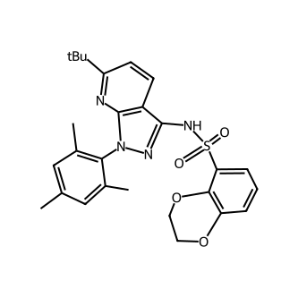 Cc1cc(C)c(-n2nc(NS(=O)(=O)c3cccc4c3OCCO4)c3ccc(C(C)(C)C)nc32)c(C)c1